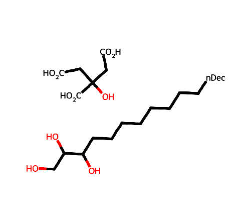 CCCCCCCCCCCCCCCCCCC(O)C(O)CO.O=C(O)CC(O)(CC(=O)O)C(=O)O